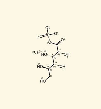 O=C(OP(=O)([O-])[O-])[C@H](O)[C@@H](O)[C@H](O)[C@H](O)CO.[Ca+2]